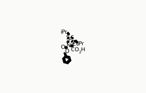 CCC(C(=O)O)N(CP(=S)(SCC(C)C)SCC(C)C)C(=O)OCc1ccccc1